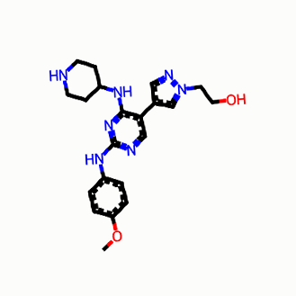 COc1ccc(Nc2ncc(-c3cnn(CCO)c3)c(NC3CCNCC3)n2)cc1